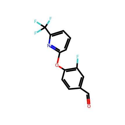 O=Cc1ccc(Oc2cccc(C(F)(F)F)n2)c(F)c1